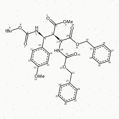 COC(=O)[C@H]([C@H](NC(=O)OC(C)(C)C)c1ccc(OC)cc1)N(NC(=O)OCc1ccccc1)C(=O)OCc1ccccc1